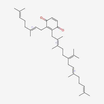 CC(C)=CCC/C(C)=C/CC(CC/C(C)=C(\C)CC1=C(C/C=C(\C)CCC=C(C)C)C(=O)C=CC1=O)=C(C)C